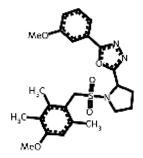 COc1cccc(-c2nnc(C3CCCN3S(=O)(=O)Cc3c(C)cc(OC)c(C)c3C)o2)c1